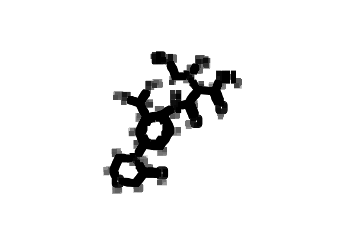 CCN(CC(C)(C)C)[C@@H](C(N)=O)C(=O)Nc1ccc(N2CCOCC2=O)cc1C(F)F